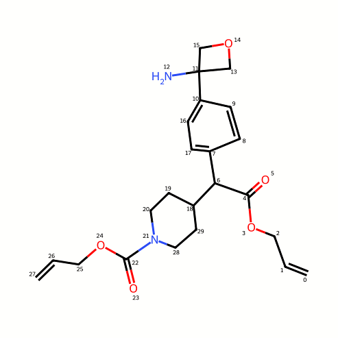 C=CCOC(=O)C(c1ccc(C2(N)COC2)cc1)C1CCN(C(=O)OCC=C)CC1